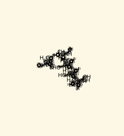 Cc1cc(I)ccc1N=C1C(F)=C(F)C(Br)=CC1C(=O)NCCN1CCCC1.Cc1cc(I)ccc1Nc1c(C(=O)NCCCO)ccc(F)c1F.Cc1cc(I)ccc1Nc1c(C(=O)NCCN2CCCCC2)cc(Br)c(F)c1F.Cc1cc(I)ccc1Nc1c(C(=O)NCCO)ccc(F)c1F.Cc1cc(I)ccc1Nc1cc(F)ccc1C(=O)NCC(O)CO